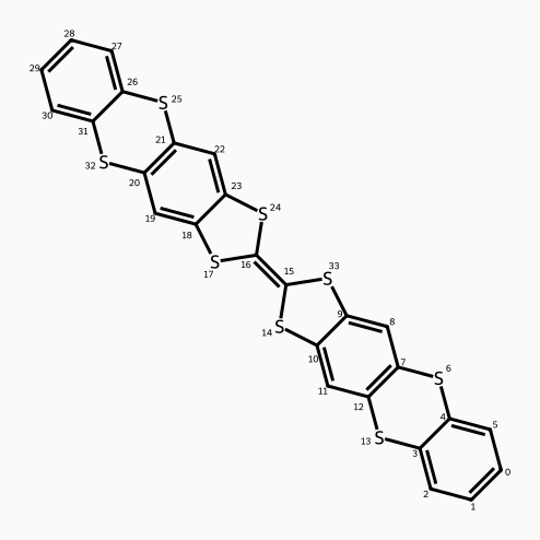 c1ccc2c(c1)Sc1cc3c(cc1S2)SC(=C1Sc2cc4c(cc2S1)Sc1ccccc1S4)S3